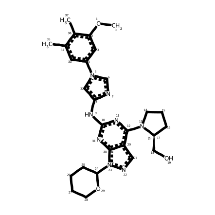 COc1cc(-n2cnc(Nc3nc(N4CCC[C@H]4CO)c4cnn(C5CCCCO5)c4n3)c2)cc(C)c1C